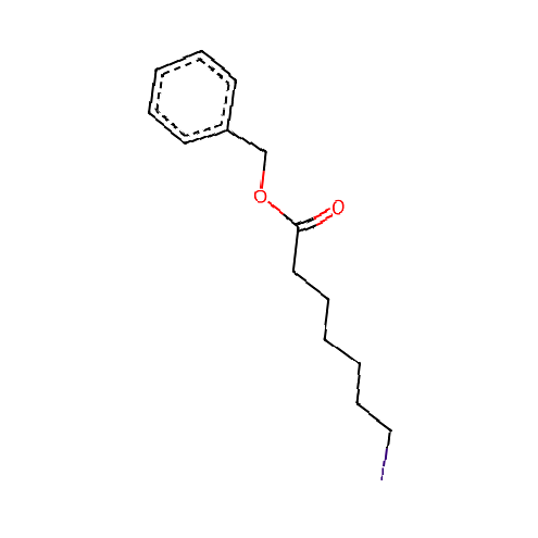 O=C(CCCCCCI)OCc1ccccc1